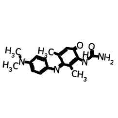 CC1=CC(=O)C(NC(N)=O)=C(C)C1=Nc1ccc(N(C)C)cc1